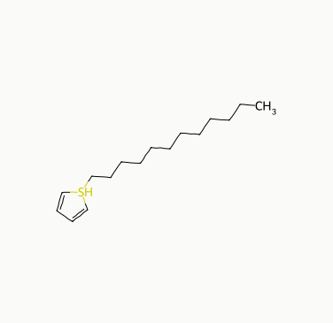 CCCCCCCCCCCC[SH]1C=CC=C1